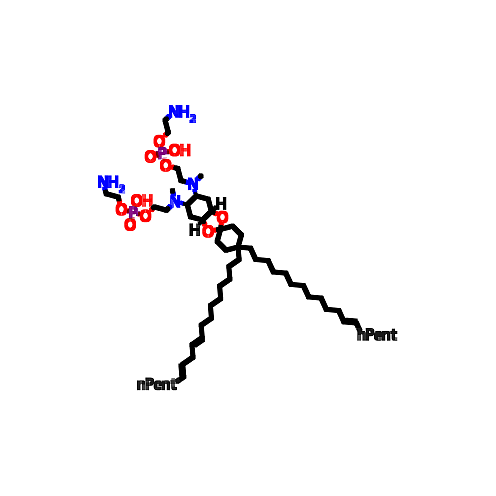 CCCCC/C=C/C/C=C/CCCCCCCCC1(CCCCCCCCCCC/C=C/CCCCC)CCC2(CC1)O[C@H]1C[C@@H](N(C)CCOP(=O)(O)OCCN)[C@@H](N(C)CCOP(=O)(O)OCCN)C[C@@H]1O2